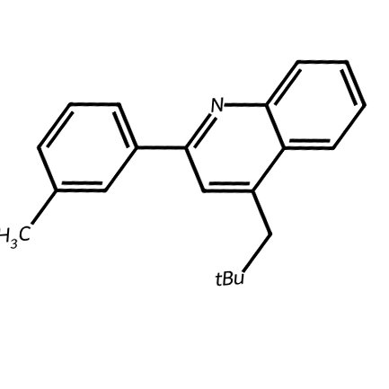 Cc1cccc(-c2cc(CC(C)(C)C)c3ccccc3n2)c1